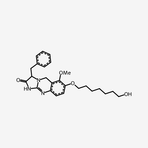 COc1c(OCCCCCCCO)ccc2c1CN1C(=N2)NC(=O)C1Cc1ccccc1